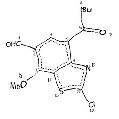 COc1c(C=O)cc(C(=O)C(C)(C)C)c2nc(Cl)sc12